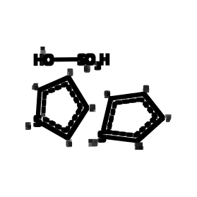 O=S(=O)(O)O.c1ccsc1.c1ccsc1